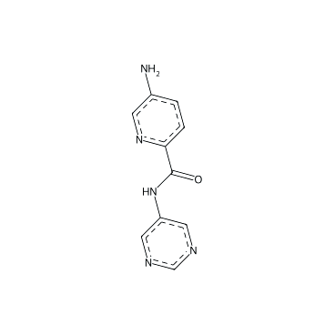 Nc1ccc(C(=O)Nc2cncnc2)nc1